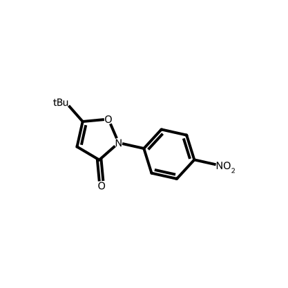 CC(C)(C)c1cc(=O)n(-c2ccc([N+](=O)[O-])cc2)o1